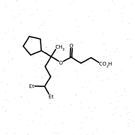 CCC(CC)CCC(C)(OC(=O)CCC(=O)O)C1CCCC1